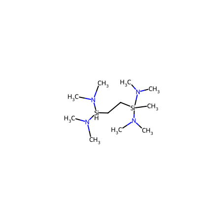 CN(C)[SiH](CC[Si](C)(N(C)C)N(C)C)N(C)C